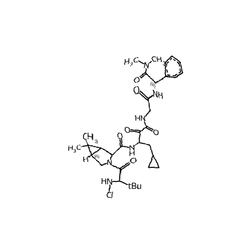 CN(C)C(=O)[C@@H](NC(=O)CNC(=O)C(=O)C(CC1CC1)NC(=O)C1C2[C@H](CN1C(=O)C(NCl)C(C)(C)C)C2(C)C)c1ccccc1